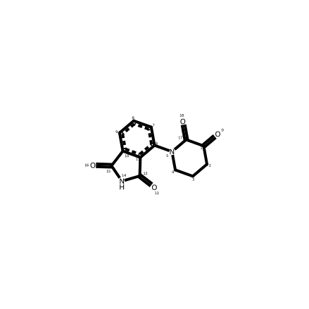 O=C1CCCN(c2cccc3c2C(=O)NC3=O)C1=O